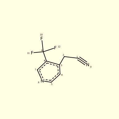 N#CCc1ccncc1C(F)(F)F